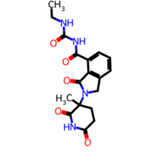 CCNC(=O)NC(=O)c1cccc2c1C(=O)N(C1(C)CCC(=O)NC1=O)C2